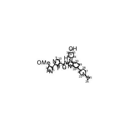 COc1ccncc1-c1nccc(C(=O)Nc2nc3cc(C4CCN(C5CC5)CC4)ccc3n2[C@H]2CC[C@@H](O)CC2)c1F